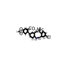 CC(=O)N1Cc2cc(-c3cc4c(cc3C(=O)O)OCO4)ccc2/C=C\c2cc(Cl)ccc21